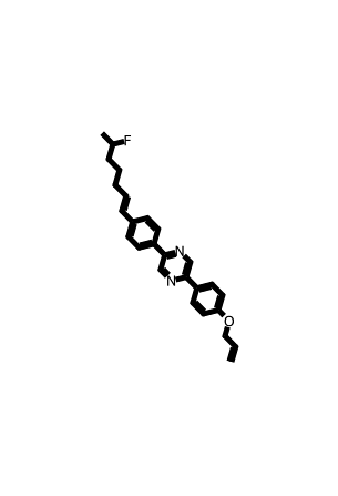 C=CCOc1ccc(-c2cnc(-c3ccc(/C=C/CCCC(C)F)cc3)cn2)cc1